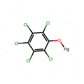 Clc1c(Cl)c(Cl)c([O][Hg])c(Cl)c1Cl